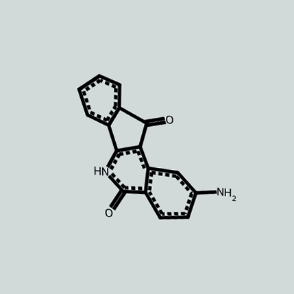 Nc1ccc2c(=O)[nH]c3c(c2c1)C(=O)c1ccccc1-3